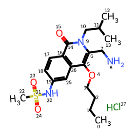 CCCCOc1c(CN)n(CC(C)C)c(=O)c2ccc(NS(C)(=O)=O)cc12.Cl